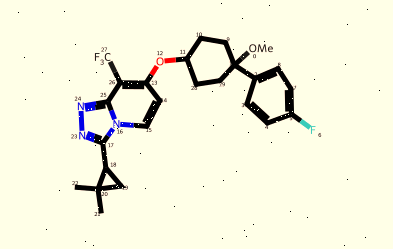 COC1(c2ccc(F)cc2)CCC(Oc2ccn3c(C4CC4(C)C)nnc3c2C(F)(F)F)CC1